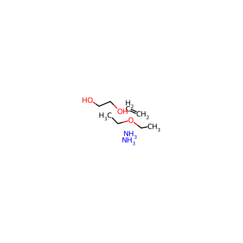 C=C.CCOCC.N.N.OCCO